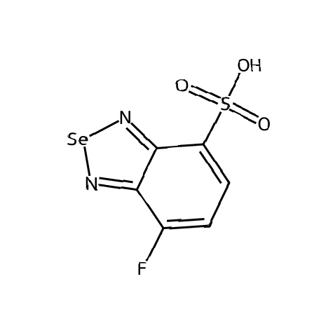 O=S(=O)(O)c1ccc(F)c2n[se]nc12